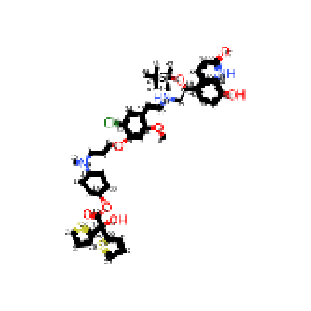 COc1cc(OCCCN(C)C2CCC(OC(=O)C(O)(c3cccs3)c3cccs3)CC2)c(Cl)cc1CCNC[C@@H](O[Si](C)(C)C(C)(C)C)c1ccc(O)c2[nH]c(=O)ccc12